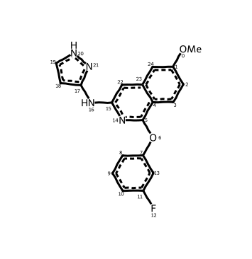 COc1ccc2c(Oc3cccc(F)c3)nc(Nc3cc[nH]n3)cc2c1